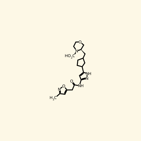 Cc1cc(CC(=O)Nc2cc(C3CCC(C[C@@H]4COCCN4C(=O)O)C3)[nH]n2)on1